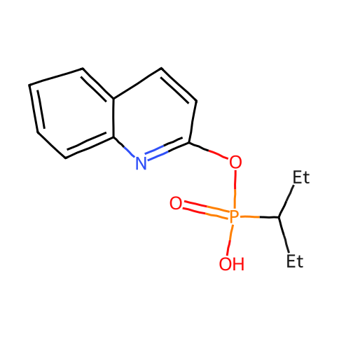 CCC(CC)P(=O)(O)Oc1ccc2ccccc2n1